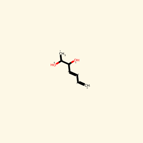 [CH]=CC=CC(O)C(C)O